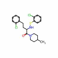 CC1CCN(C(=O)C(CCc2ccccc2Cl)NSc2ccccc2Cl)CC1